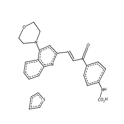 O=C(O)Nc1ccc(C(=O)C=Cc2cc(N3CCOCC3)c3ccccc3n2)cc1.c1ccsc1